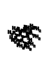 [3H]P(P(P(P)P)P(P)PP)P(P(P(P)P)P(P)P)P(P(P)P)P(P)P